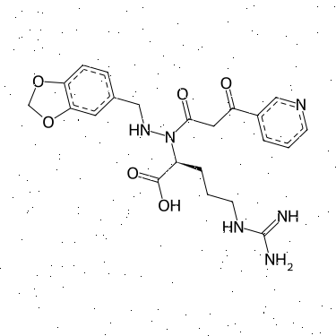 N=C(N)NCCC[C@@H](C(=O)O)N(NCc1ccc2c(c1)OCO2)C(=O)CC(=O)c1cccnc1